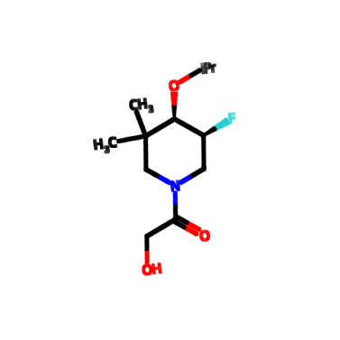 CC(C)O[C@H]1[C@@H](F)CN(C(=O)CO)CC1(C)C